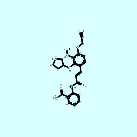 C#CCOc1ccc(/C=C/C(=O)Nc2ccccc2C(=O)O)c(OC2CCNC2)c1OC